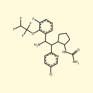 NC(=O)NC1CCCC1C(c1ccc(Cl)cn1)C(N)c1cccc(F)c1OC(F)(F)C(F)F